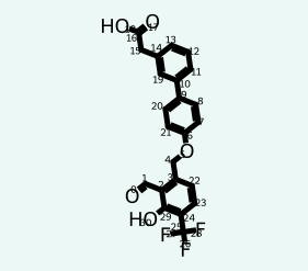 O=Cc1c(COc2ccc(-c3cccc(CC(=O)O)c3)cc2)ccc(C(F)(F)F)c1O